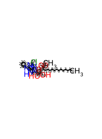 CCCCCCCCCCCCCC(C(=O)OC)[C@H]1O[C@@H](n2cnc3c(NC4CCCC4)nc(Cl)nc32)[C@H](O)[C@@H]1O